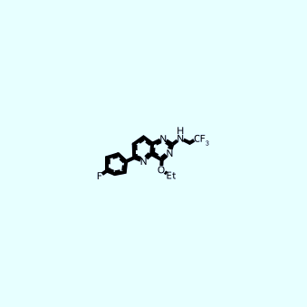 CCOc1nc(NCC(F)(F)F)nc2ccc(-c3ccc(F)cc3)nc12